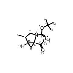 C[C@H]1CN(C(=O)OC(C)(C)C)[C@]2(C(=O)O)C[C@H]12